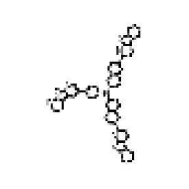 c1ccc2c(c1)sc1nc(-c3ccc4cc(N(c5ccc(-c6cnc7oc8ncccc8c7c6)cc5)c5ccc6cc(-c7ccc8c(n7)sc7ccccc78)ccc6c5)ccc4c3)ccc12